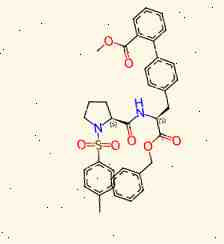 COC(=O)c1ccccc1-c1ccc(C[C@H](NC(=O)[C@@H]2CCCN2S(=O)(=O)c2ccc(C)cc2)C(=O)OCc2ccccc2)cc1